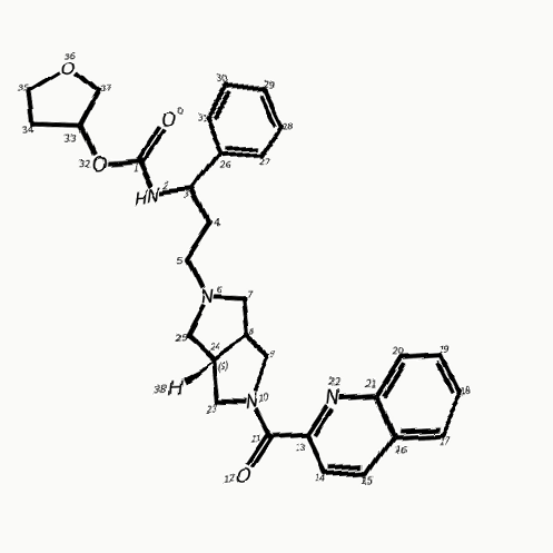 O=C(NC(CCN1CC2CN(C(=O)c3ccc4ccccc4n3)C[C@@H]2C1)c1ccccc1)OC1CCOC1